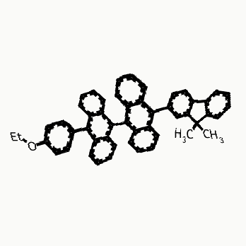 CCOc1ccc(-c2c3ccccc3c(-c3c4ccccc4c(-c4ccc5c(c4)C(C)(C)c4ccccc4-5)c4ccccc34)c3ccccc23)cc1